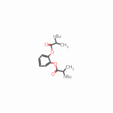 CCCCC(C)C(=O)Oc1ccccc1OC(=O)C(C)CCCC